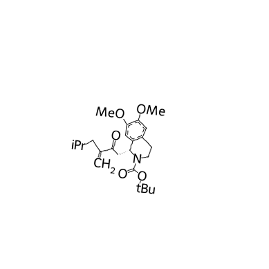 C=C(CC(C)C)C(=O)C[C@@H]1c2cc(OC)c(OC)cc2CCN1C(=O)OC(C)(C)C